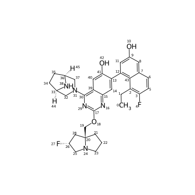 CCc1c(F)ccc2cc(O)cc(-c3cc4nc(OC[C@@]56CCCN5C[C@H](F)C6)nc(N5C[C@H]6CC[C@@H](C5)N6)c4cc3O)c12